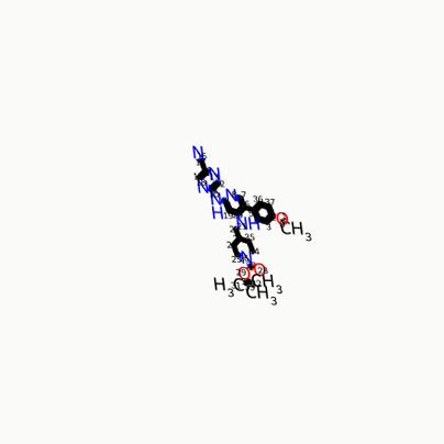 COc1ccc(-c2cnc(Nc3cnc(C#N)cn3)cc2NCC2CCN(C(=O)OC(C)(C)C)CC2)cc1